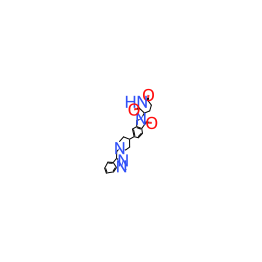 Cn1nc(CN2CCC(c3ccc4c(c3)CN(C3CCC(=O)NC3=O)C4=O)CC2)c2ccccc21